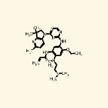 C=CC(=O)Nc1cc(Nc2ncnc(N3CC(C)(C)c4nc(C)ccc43)n2)c(OCC)cc1N(C)CCN(C)C